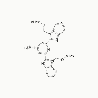 CCCCCCOCn1c(-c2cccc(-c3nc4ccccc4n3COCCCCCC)n2)nc2ccccc21.[Cl-].[Cl-].[Fe+2]